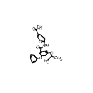 C#CC(C)Oc1cc(Oc2ccccc2)cc(C(=O)Nc2ccc(C(=O)O)cn2)c1